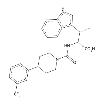 C[C@@H](c1c[nH]c2ccccc12)[C@@H](NC(=O)N1CCC(c2cccc(C(F)(F)F)c2)CC1)C(=O)O